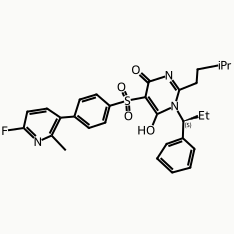 CC[C@@H](c1ccccc1)n1c(CCC(C)C)nc(=O)c(S(=O)(=O)c2ccc(-c3ccc(F)nc3C)cc2)c1O